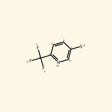 FC(F)(F)c1ccc([S])cn1